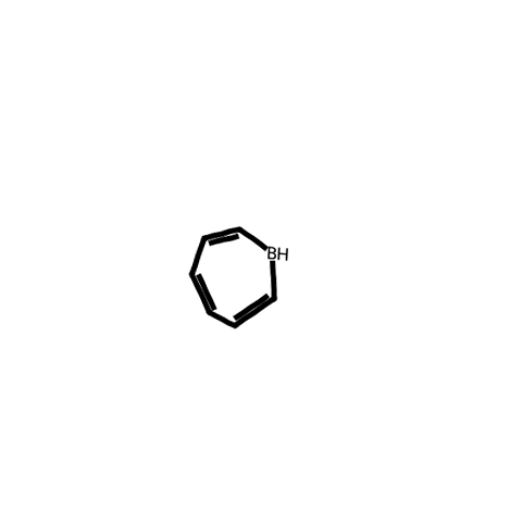 B1C=CC=CC=C1